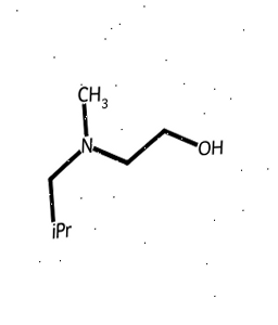 CC(C)CN(C)CCO